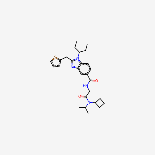 CCC(CC)n1c(Cc2cccs2)nc2cc(C(=O)NCC(=O)N(C(C)C)C3CCC3)ccc21